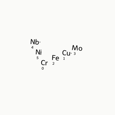 [Cr].[Cu].[Fe].[Mo].[Nb].[Ni]